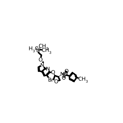 Cc1ccc(S(=O)(=O)N[C@@H]2COC[C@H]2Oc2nc3c(ccn3COCC[Si](C)(C)C)cc2Br)cc1